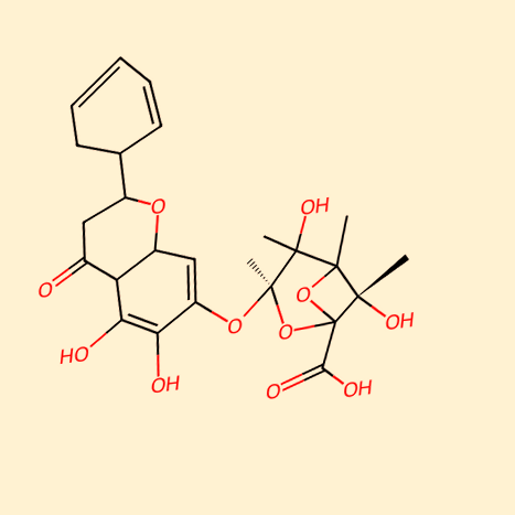 CC1(O)C2(C)OC(C(=O)O)(O[C@@]1(C)OC1=CC3OC(C4C=CC=CC4)CC(=O)C3C(O)=C1O)[C@@]2(C)O